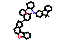 CC1(C)c2ccccc2-c2cc(N(c3ccc(-c4ccc5ccc6oc7ccccc7c6c5c4)cc3)c3ccccc3-c3ccccc3)ccc21